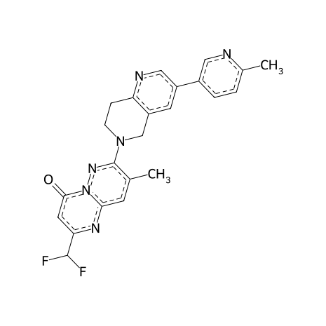 Cc1ccc(-c2cnc3c(c2)CN(c2nn4c(=O)cc(C(F)F)nc4cc2C)CC3)cn1